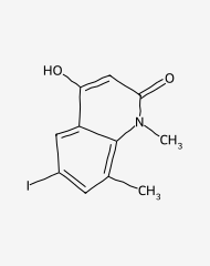 Cc1cc(I)cc2c(O)cc(=O)n(C)c12